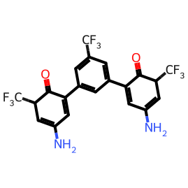 NC1=CC(C(F)(F)F)C(=O)C(c2cc(C3=CC(N)=CC(C(F)(F)F)C3=O)cc(C(F)(F)F)c2)=C1